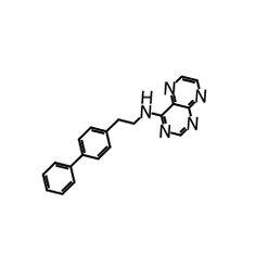 c1ccc(-c2ccc(CCNc3ncnc4nccnc34)cc2)cc1